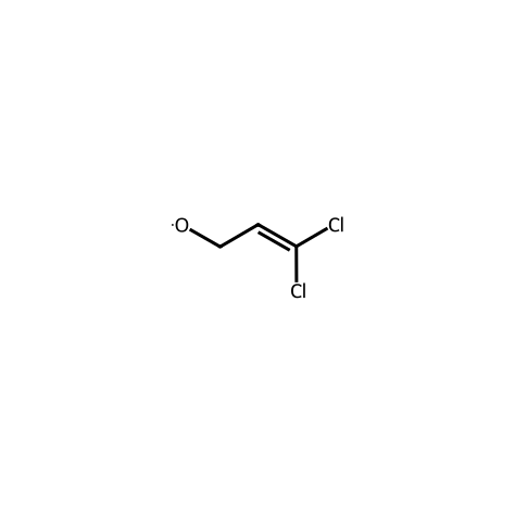 [O]CC=C(Cl)Cl